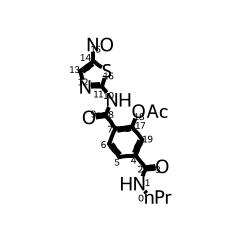 CCCNC(=O)c1ccc(C(=O)Nc2ncc(N=O)s2)c(OC(C)=O)c1